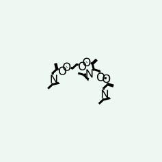 C=C(CN1CC1C)OOCCOOC(=C)C(COOC(=C)CN1CC1C)N1CC1C